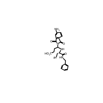 CC(C)C[C@H](NC(CCC(=O)O)N1C(=O)c2ccc(N)cc2C1=O)C(=O)NCc1ccccc1